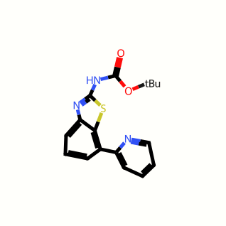 CC(C)(C)OC(=O)Nc1nc2cccc(-c3ccccn3)c2s1